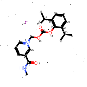 CNC(=O)c1ccc[n+](COC(=O)Oc2c(C(C)C)cccc2C(C)C)c1.[I-]